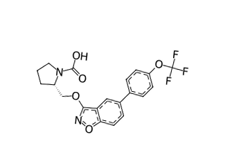 O=C(O)N1CCC[C@H]1COc1noc2ccc(-c3ccc(OC(F)(F)F)cc3)cc12